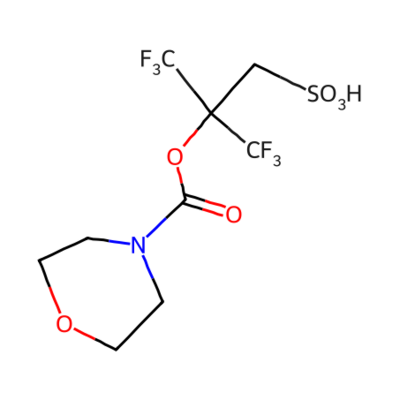 O=C(OC(CS(=O)(=O)O)(C(F)(F)F)C(F)(F)F)N1CCOCC1